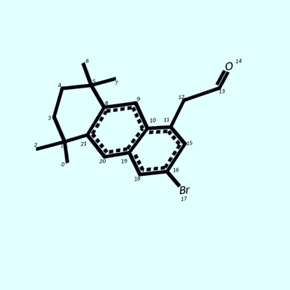 CC1(C)CCC(C)(C)c2cc3c(CC=O)cc(Br)cc3cc21